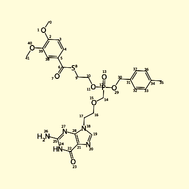 COc1ccc(C(=O)SCCOP(=O)(COCCn2cnc3c(=O)[nH]c(N)nc32)OCc2ccc(C)cc2)cc1OC